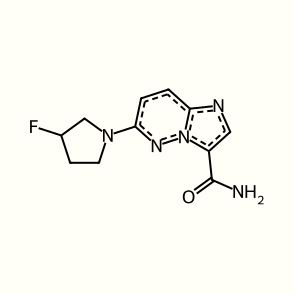 NC(=O)c1cnc2ccc(N3CCC(F)C3)nn12